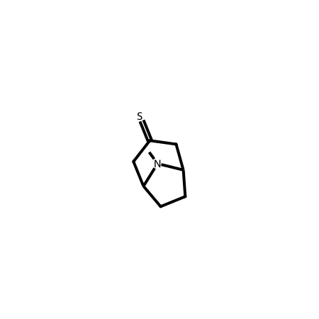 CN1C2CCC1CC(=S)C2